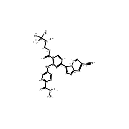 CN(C)C(=O)c1ccc(Nc2cc(-c3ccc4cc(C#N)cnn34)ncc2C(=O)NC[C@@H](F)C(C)(C)O)cn1